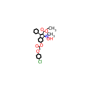 CCOC(=O)C1=C(c2ccccc2)c2ccc(OC(=O)COc3ccc(Cl)cc3)cc2/C1=[N+](/C)O